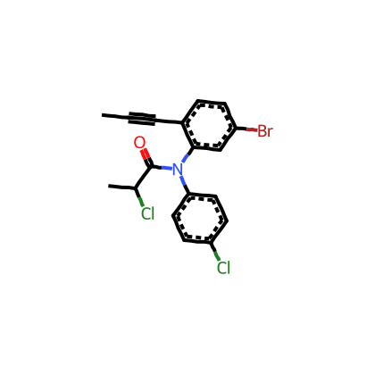 CC#Cc1ccc(Br)cc1N(C(=O)C(C)Cl)c1ccc(Cl)cc1